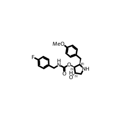 COc1ccc(C[C@H]2NC[C@H](O)[C@H]2OC(=O)NCc2ccc(F)cc2)cc1